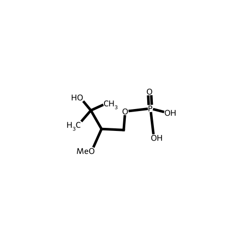 COC(COP(=O)(O)O)C(C)(C)O